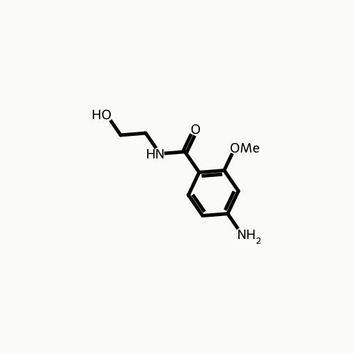 COc1cc(N)ccc1C(=O)NCCO